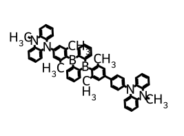 Cc1cc(-c2ccc(N3c4ccccc4N(C)c4ccccc43)cc2)cc(C)c1B1c2ccccc2B(c2c(C)cc(N3c4ccccc4N(C)c4ccccc43)cc2C)c2ccccc21